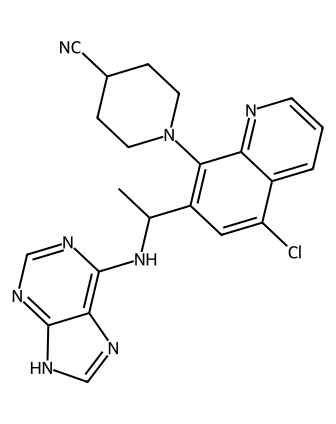 CC(Nc1ncnc2[nH]cnc12)c1cc(Cl)c2cccnc2c1N1CCC(C#N)CC1